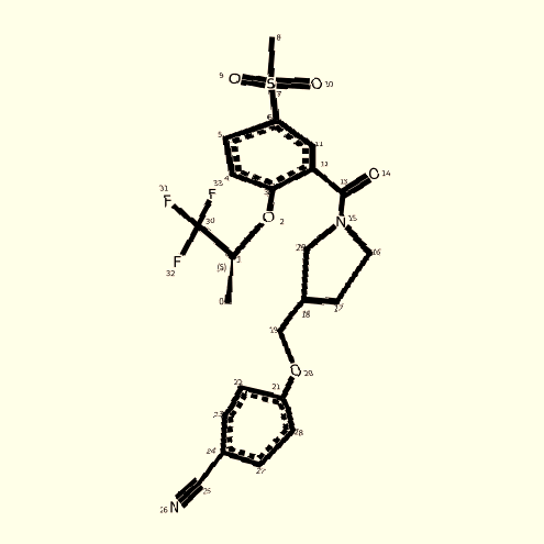 C[C@H](Oc1ccc(S(C)(=O)=O)cc1C(=O)N1CCC(COc2ccc(C#N)cc2)C1)C(F)(F)F